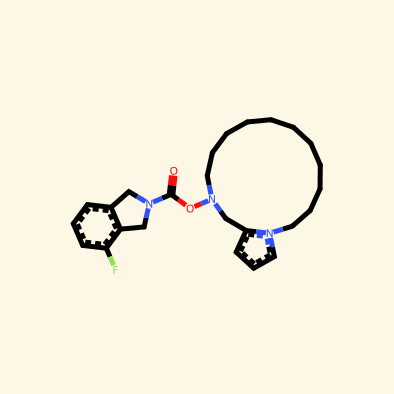 O=C(ON1CCCCCCCCCCCn2cccc2C1)N1Cc2cccc(F)c2C1